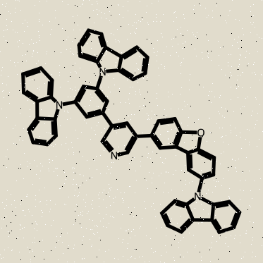 c1ccc2c(c1)c1ccccc1n2-c1cc(-c2cncc(-c3ccc4oc5ccc(-n6c7ccccc7c7ccccc76)cc5c4c3)c2)cc(-n2c3ccccc3c3ccccc32)c1